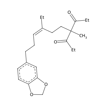 CCC(=O)C(C)(CCC(=CCCc1ccc2c(c1)OCO2)CC)C(=O)CC